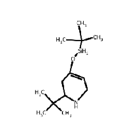 CC(C)(C)[SiH2]OC1=CCNC(C(C)(C)C)C1